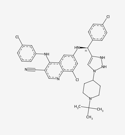 CC(C)(C)N1CCC(N2C=C([C@@H](Nc3cc(Cl)c4ncc(C#N)c(Nc5cccc(Cl)c5)c4c3)c3ccc(Cl)cc3)NN2)CC1